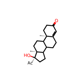 CC(=O)[C@@]1(O)CCC2C3CCC4=CC(=O)CC[C@]4(C)C3CC[C@@]21C